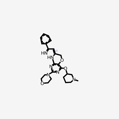 CN1CCCC(Oc2nc(N3CCOCC3)nc3c2OC/C(=C/C(=N)c2ccccc2)N3)C1